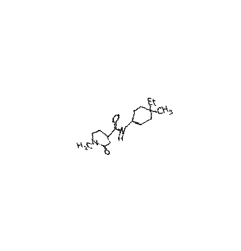 CCC1(C)CCC(NC(=O)C2CCN(C)C(=O)C2)CC1